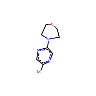 N#Cc1cnc(N2CCOCC2)cn1